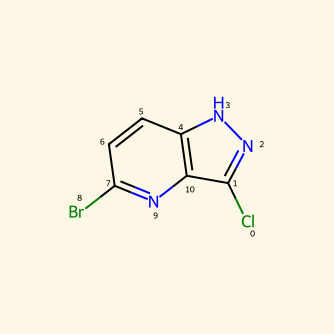 Clc1n[nH]c2ccc(Br)nc12